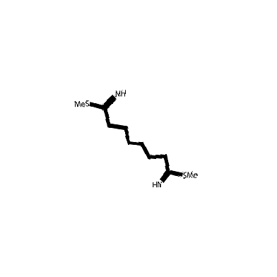 CSC(=N)CCCCCCC(=N)SC